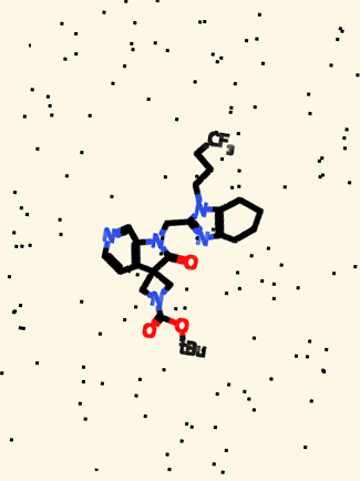 CC(C)(C)OC(=O)N1CC2(C1)C(=O)N(Cc1nc3c(n1CCCC(F)(F)F)CCCC3)c1cnccc12